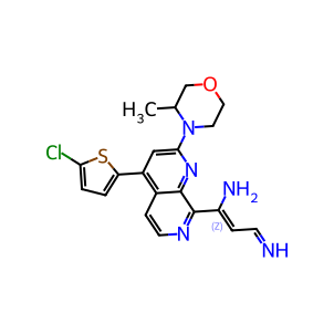 CC1COCCN1c1cc(-c2ccc(Cl)s2)c2ccnc(/C(N)=C/C=N)c2n1